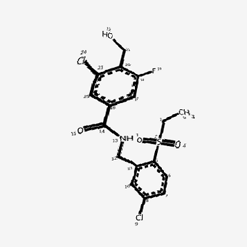 CCS(=O)(=O)c1ccc(Cl)cc1CNC(=O)c1cc(F)c(CO)c(Cl)c1